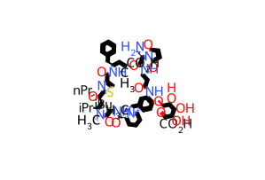 CCCO[C@H](C[C@H](C(C)C)N(C)C(=O)[C@@H](NC(=O)[C@H]1CCCC[N+]1(C)Cc1ccc(O[C@@H]2O[C@H](C(=O)O)[C@@H](O)[C@H](O)[C@H]2O)c(NC(=O)CCNC(=O)[C@H](CN)N2C(=O)C=CC2=O)c1)[C@@H](C)CC)c1nc(C(=O)N[C@@H](Cc2ccccc2)C[C@H](C)C(=O)O)cs1